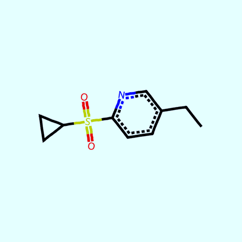 CCc1ccc(S(=O)(=O)C2CC2)nc1